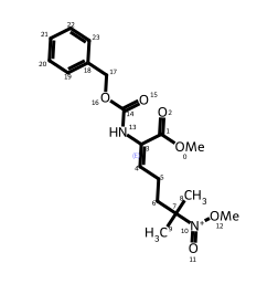 COC(=O)/C(=C\CCC(C)(C)[N+](=O)OC)NC(=O)OCc1ccccc1